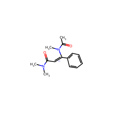 CC(=O)N(C)/C(=C\C(=O)N(C)C)c1ccccc1